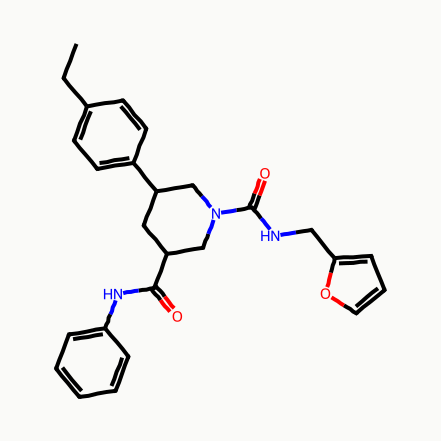 CCc1ccc(C2CC(C(=O)Nc3ccccc3)CN(C(=O)NCc3ccco3)C2)cc1